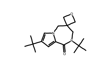 CC(C)(C)c1cc2n(c1)CC1(COC1)CN(C(C)(C)C)C2=O